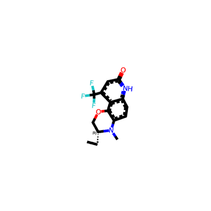 CC[C@@H]1COc2c(ccc3[nH]c(=O)cc(C(F)(F)F)c23)N1C